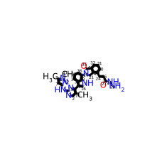 Cc1cnc(Nc2cc(C)n(C)n2)nc1-c1c[nH]c2c(N3Cc4c(/C=C/C(=O)NN)cccc4C3=O)cccc12